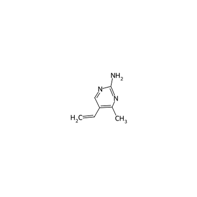 C=Cc1cnc(N)nc1C